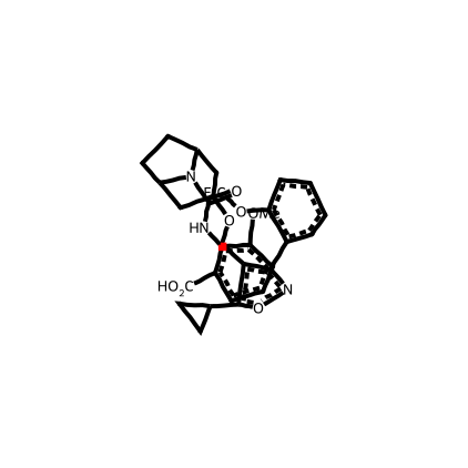 COc1cccc(C(=O)O)c1NC(=O)N1C2CCC1CC(OCc1c(-c3ccccc3OC(F)(F)F)noc1C1CC1)C2